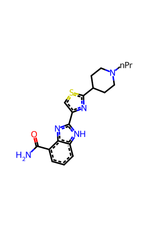 CCCN1CCC(c2nc(-c3nc4c(C(N)=O)cccc4[nH]3)cs2)CC1